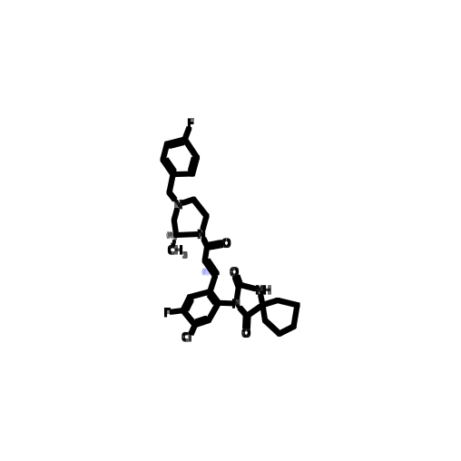 C[C@@H]1CN(Cc2ccc(F)cc2)CCN1C(=O)/C=C/c1cc(F)c(Cl)cc1N1C(=O)NC2(CCCCC2)C1=O